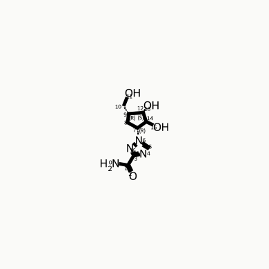 NC(=O)c1ncn([C@@H]2C[C@H](CO)[C@H](O)C2O)n1